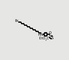 CCOC(=O)C1CSCN1C(=O)c1ccc(NCCCCCCCCCCCCCCCCBr)cc1